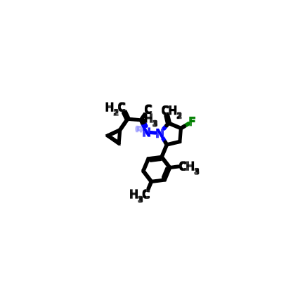 C=C(/C(C)=N/N1C(=C)C(F)CC1C1=CCC(C)C=C1C)C1CC1